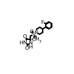 C[C@]1(CS(=O)(=O)N2CCC(c3ccccc3F)CC2)NC(=O)NC1=O